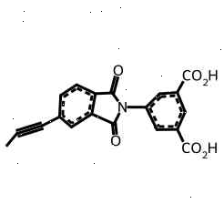 CC#Cc1ccc2c(c1)C(=O)N(c1cc(C(=O)O)cc(C(=O)O)c1)C2=O